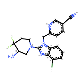 N#Cc1ccc(Cn2c(N3CCC(F)(F)C(N)C3)nc3c(Cl)cccc32)nc1